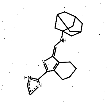 C(/NC12CC3CC(CC(C3)C1)C2)=C1\N=C(c2ncc[nH]2)C2=C1CCCC2